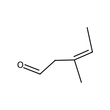 CC=C(C)CC=O